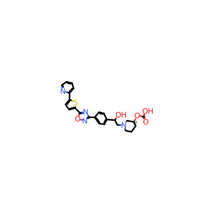 O=C(O)O[C@H]1CCCN(CC(O)c2ccc(-c3noc(-c4ccc(-c5ccccn5)s4)n3)cc2)C1